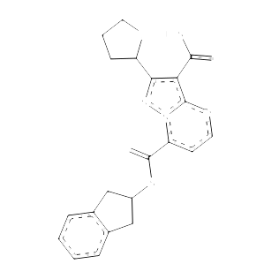 NC(=O)c1c(C2CCCO2)nn2c(C(=O)NC3Cc4ccccc4C3)ccnc12